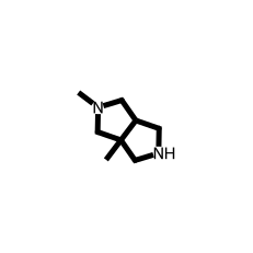 CN1CC2CNCC2(C)C1